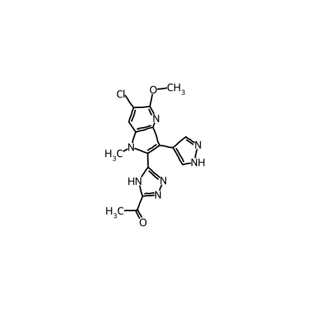 COc1nc2c(-c3cn[nH]c3)c(-c3nnc(C(C)=O)[nH]3)n(C)c2cc1Cl